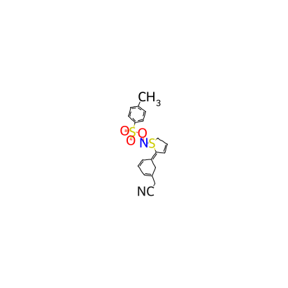 Cc1ccc(S(=O)(=O)ON=S2CC=CC2=C2C=CC=C(CC#N)C2)cc1